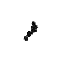 CC(C)CC(C(=O)Nc1ccn(C)n1)n1ncc(Oc2cccc3c2ccn3C[C@@H]2COC(C)(C)O2)cc1=O